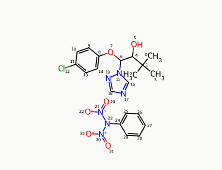 CC(C)(C)C(O)C(Oc1ccc(Cl)cc1)n1cncn1.O=[N+]([O-])N(c1ccccc1)[N+](=O)[O-]